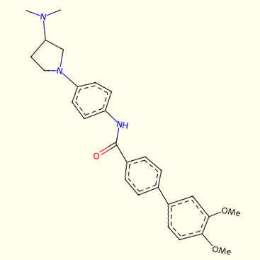 COc1ccc(-c2ccc(C(=O)Nc3ccc(N4CCC(N(C)C)C4)cc3)cc2)cc1OC